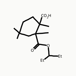 CCC(CC)OC(=O)C1(C)CC(C)(C)CCC1(C)C(=O)O